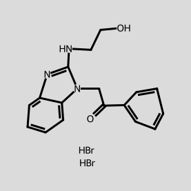 Br.Br.O=C(Cn1c(NCCO)nc2ccccc21)c1ccccc1